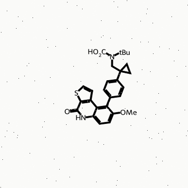 COc1ccc2[nH]c(=O)c3sccc3c2c1-c1ccc(C2(CN(C(=O)O)C(C)(C)C)CC2)cc1